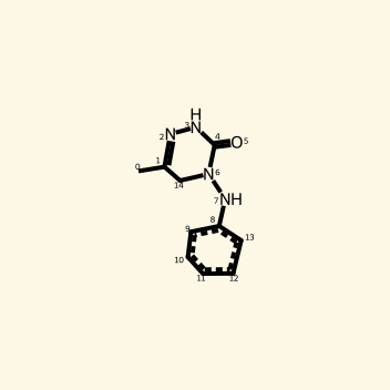 CC1=NNC(=O)N(Nc2ccccc2)C1